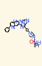 CC(C)NC(=O)CN1CCN(C2CC(C3=C4C=NC=C[N+]4(N)C(c4ccc5ccc(-c6ccccc6)nc5c4)=N3)C2)CC1